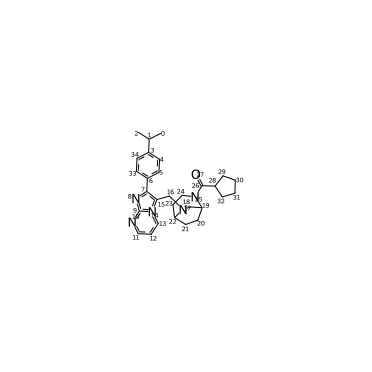 CC(C)c1ccc(-c2nc3ncccn3c2CN2CC3CCC2CCN3C(=O)C2CCCC2)cc1